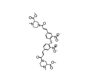 COC(=O)C1CN(C(=O)/C=C/c2ccc(Sc3ccc(/C=C/C(=O)N4CCN(C)C(C(=O)OC)C4)cc3[N+](=O)[O-])c([N+](=O)[O-])c2)CCN1C